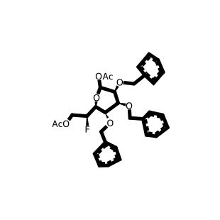 CC(=O)OC[C@H](F)[C@H]1OC(OC(C)=O)[C@@H](OCc2ccccc2)[C@@H](OCc2ccccc2)[C@@H]1OCc1ccccc1